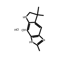 Cc1nc2cc3c(cc2[nH]1)NCC3(C)C.Cl.Cl